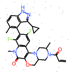 C=CC(=O)N1CC2COc3c(c4cc(F)c(-c5c(C)ccc6[nH]nc(C7CC7)c56)c(F)c4n(C)c3=O)N2CC1C